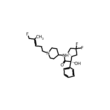 C/C(=C\CCN1CCC(NC(=O)[C@](O)(c2ccccc2)[C@@H]2CCC(F)(F)C2)CC1)CF